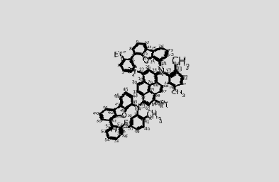 CCc1ccccc1-c1cccc2c1oc1c(N(c3cc(C)ccc3C)c3cc(C(C)C)c4ccc5c(N(c6cc(C)ccc6C)c6cccc7c6oc6c(-c8ccccc8CC)cccc67)cc(C(C)C)c6ccc3c4c65)cccc12